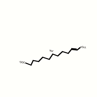 CCCCCCCCC=CCCCCCCCCCC(=O)[O-].[Na+]